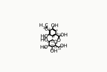 COc1c(O)cc(C(=O)O)c([C@@H]2OC(CO)[C@@H](O)[C@H](O)[C@H]2O)c1O